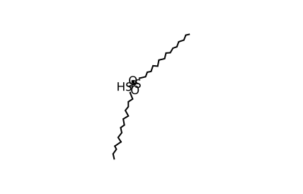 CCCCCCCCCCCCCCCCOP(=O)(S)SCCCCCCCCCCCCCCCC